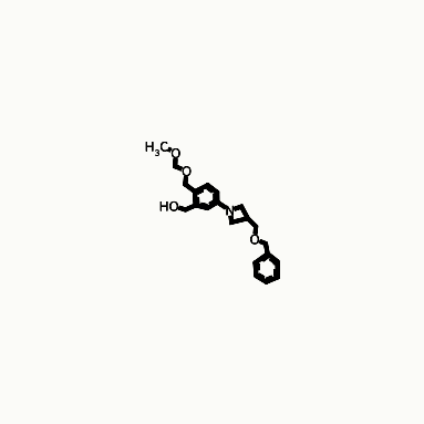 COCOCc1ccc(N2CC(COCc3ccccc3)C2)cc1CO